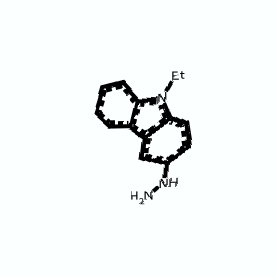 CCn1c2ccccc2c2cc(NN)ccc21